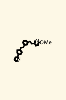 COc1ccc(CCc2cccc(CCc3ccc(-c4ccccn4)cc3)c2)cn1